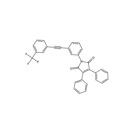 O=C1C(c2ccccc2)=C(c2ccccc2)C(=O)N1c1cccc(C#Cc2cccc(C(F)(F)F)c2)c1